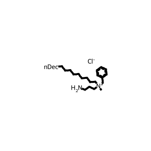 CCCCCCCCCCCCCCCCCCC[N+](C)(CCCN)Cc1ccccc1.[Cl-]